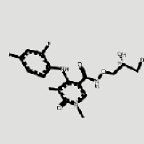 Cc1c(Nc2ccc(I)cc2F)c(C(=O)NOC[C@H](O)CO)cn(C)c1=O